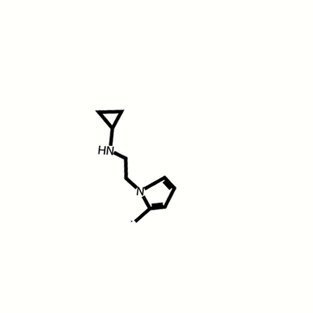 [CH2]c1cccn1CCNC1CC1